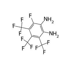 Nc1c(N)c(C(F)(F)F)c(C(F)(F)F)c(C(F)(F)F)c1F